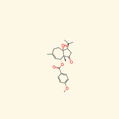 COc1ccc(C(=O)O[C@@H]2C=C(C)CC[C@]3(O)[C@@H](C(C)C)CC(=O)[C@]23C)cc1